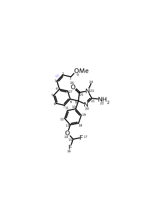 COC/C=C\c1cccc(C2(c3ccc(OC(F)F)cc3)N=C(N)N(C)C2=O)c1